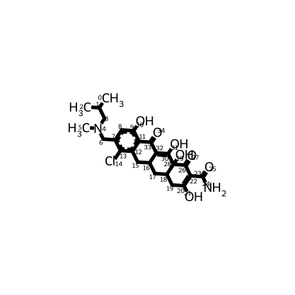 CC(C)CN(C)Cc1cc(O)c2c(c1Cl)CC1CC3CC(O)=C(C(N)=O)C(=O)C3(O)C(O)=C1C2=O